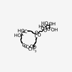 C[C@H]1CCC/C=C\C=C\[C@H](O)C[C@@H](O)C/C=C\C=C\[C@@H](OC(=O)CCC(=O)O[C@H]2O[C@@H](CO)[C@H](O)[C@@H](O)[C@@H]2O)C/C=C/C=C\C(=O)O1